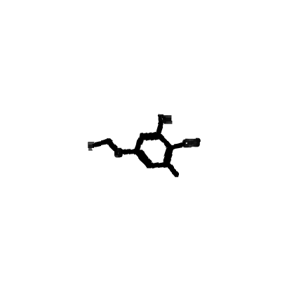 Cc1cc(OCF)cc(O)c1C=O